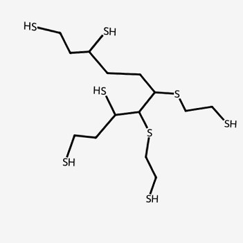 SCCSC(CCC(S)CCS)C(SCCS)C(S)CCS